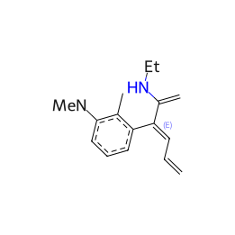 C=C/C=C(/C(=C)NCC)c1cccc(NC)c1C